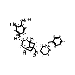 O=C([C@@H]1CCCN(Cc2ccccc2)C1)C12C[C@H]3C[C@H](Nc4ccc(CO)c(Cl)c4)C[C@@H](C1)C32